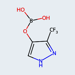 OB(O)Oc1c[nH]nc1C(F)(F)F